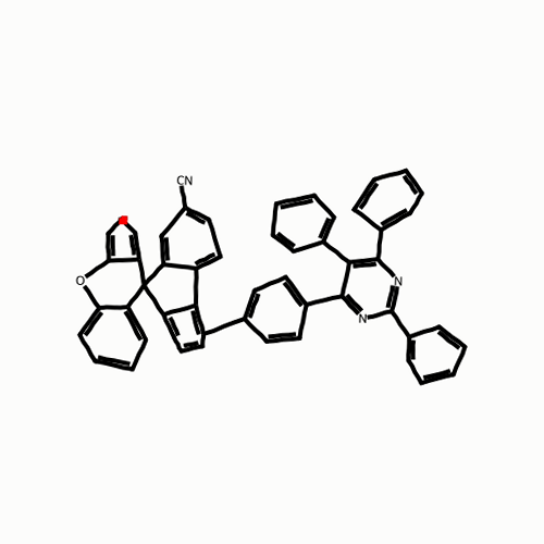 N#Cc1ccc2c(c1)C1(c3ccccc3Oc3ccccc31)c1cccc(-c3ccc(-c4nc(-c5ccccc5)nc(-c5ccccc5)c4-c4ccccc4)cc3)c1-2